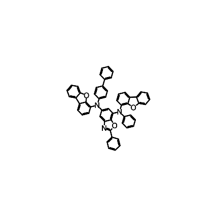 c1ccc(-c2ccc(N(c3cc(N(c4ccccc4)c4cccc5c4oc4ccccc45)c4oc(-c5ccccc5)nc4c3)c3cccc4c3oc3ccccc34)cc2)cc1